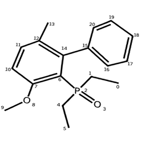 CCP(=O)(CC)c1c(OC)ccc(C)c1-c1ccccc1